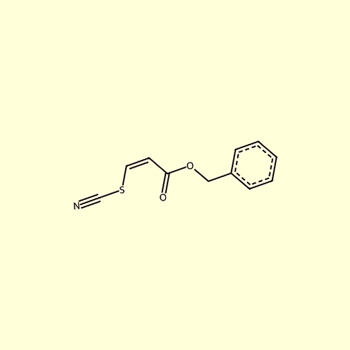 N#CS/C=C\C(=O)OCc1ccccc1